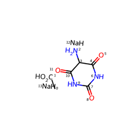 CC(=O)O.NC1C(=O)NC(=O)NC1=O.[NaH].[NaH]